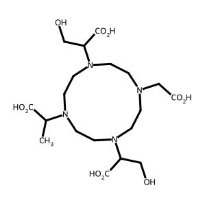 CC(C(=O)O)N1CCN(C(CO)C(=O)O)CCN(CC(=O)O)CCN(C(CO)C(=O)O)CC1